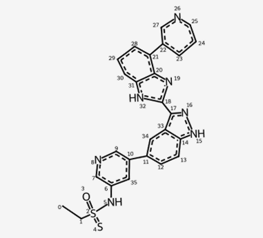 CCS(=O)(=S)Nc1cncc(-c2ccc3[nH]nc(-c4nc5c(-c6cccnc6)cccc5[nH]4)c3c2)c1